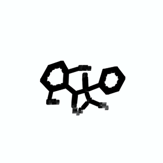 COc1cccc(OC)c1C(=O)P(=O)(c1ccccc1)N(C)C